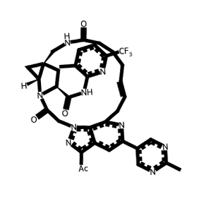 CC(=O)c1nn2c3c(nc(-c4cnc(C)nc4)cc13)C/C=C/CCCC(=O)NC[C@@]13C[C@@H](C(=O)Nc4nc(C(F)(F)F)ccc4C)N(C(=O)C2)[C@@H]1C3